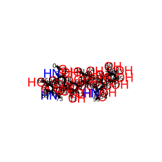 CC(=O)NC1C(O)[C@H](O[C@@H]2OC(CO)[C@@H](O)C(O[C@H]3OC(CO)[C@@H](O)C(O)C3O[C@@H]3OC(CO)[C@@H](O[C@@H]4OC(CO)[C@H](CO)C(O)C4O)C(O)C3NC(C)=O)C2O)C(CO)O[C@H]1O[C@@H]1C(CO)O[C@@H](C)C(NC(C)=O)C1O